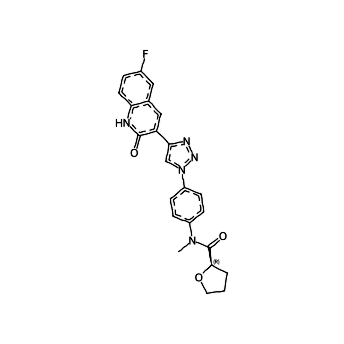 CN(C(=O)[C@H]1CCCO1)c1ccc(-n2cc(-c3cc4cc(F)ccc4[nH]c3=O)nn2)cc1